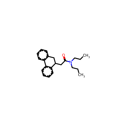 CCCN(CCC)C(=O)CC1Cc2ccccc2-c2ccccc21